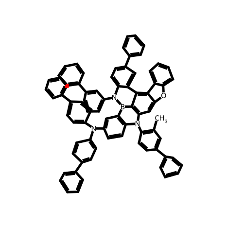 Cc1cc(-c2ccccc2)ccc1N1c2ccc(N(c3ccc(-c4ccccc4)cc3)c3ccc(-c4ccccc4)cc3)cc2B2c3c1cc1oc4ccccc4c1c3-c1cc(-c3ccccc3)ccc1N2c1cccc(-c2ccccc2)c1